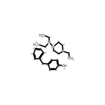 CCN1CCN(N(CC)CC)CC1.Oc1ccc(Cc2ccccc2)cc1